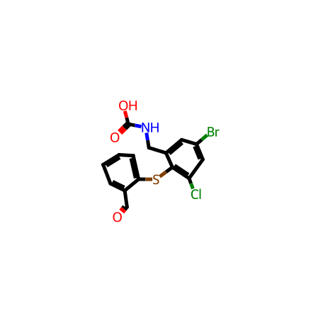 O=Cc1ccccc1Sc1c(Cl)cc(Br)cc1CNC(=O)O